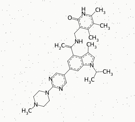 C=C(NCc1c(C)c(C)c(C)[nH]c1=O)c1cc(-c2cnc(N3CCN(C)CC3)nc2)cc2c1c(C)cn2C(C)C